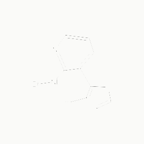 CCNc1ncccc1-c1sccc1Br